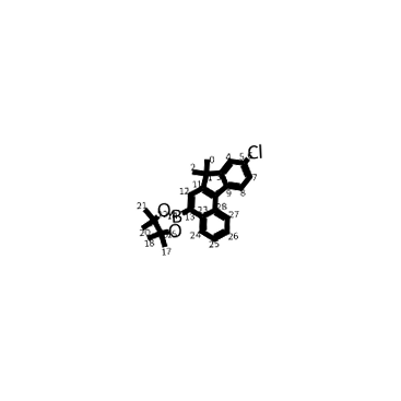 CC1(C)c2cc(Cl)ccc2-c2c1cc(B1OC(C)(C)C(C)(C)O1)c1ccccc21